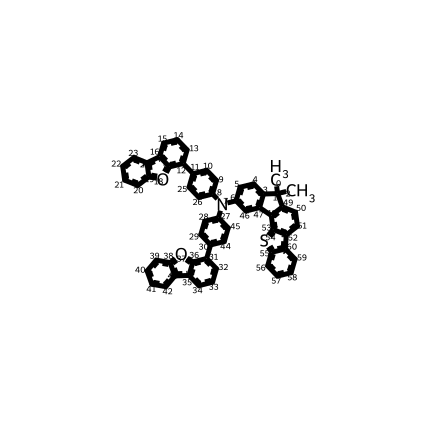 CC1(C)c2ccc(N(c3ccc(-c4cccc5c4oc4ccccc45)cc3)c3ccc(-c4cccc5c4oc4ccccc45)cc3)cc2-c2c1ccc1c2sc2ccccc21